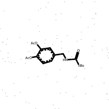 CCCCC(=O)NCc1ccc(OC(C)=O)c(OC(C)=O)c1